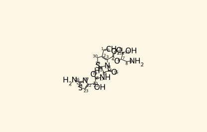 C=CC1=C(C(=O)OC(CN)C(=O)O)N2C(=O)C(NC(=O)C(O)c3csc(N)n3)[C@@H]2SC1